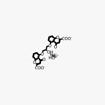 Cl.O=C([O-])c1cc(=O)c2c(OCC(O)COc3cccc4oc(C(=O)[O-])cc(=O)c34)cccc2o1.[Na+].[Na+]